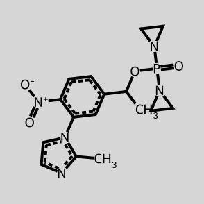 Cc1nccn1-c1cc(C(C)OP(=O)(N2CC2)N2CC2)ccc1[N+](=O)[O-]